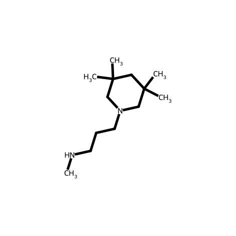 CNCCCN1CC(C)(C)CC(C)(C)C1